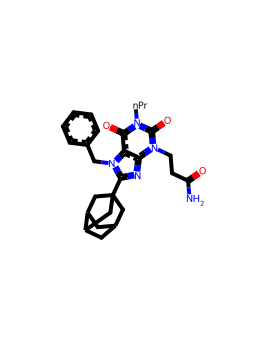 CCCn1c(=O)c2c(nc(C34CC5CC(C3)C(C5)C4)n2Cc2ccccc2)n(CCC(N)=O)c1=O